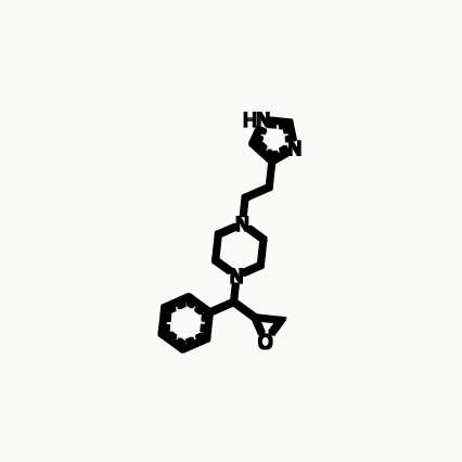 c1ccc(C(C2CO2)N2CCN(CCc3c[nH]cn3)CC2)cc1